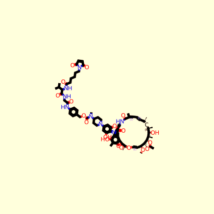 CO[C@H]1/C=C/O[C@@]2(C)Oc3c(C)c(O)c4c(=O)c(c5oc6cc(N7CCC(N(C)C(=O)OCc8ccc(NC(=O)CNC(=O)C(NC(=O)CCCCCN9C(=O)C=CC9=O)C(C)C)cc8)CC7)cc(O)c6nc-5c4c3C2=O)NC(=O)/C(C)=C\C=C\[C@H](C)C[C@@H](C)[C@@H](O)[C@@H](C)[C@H](OC(C)=O)[C@@H]1C